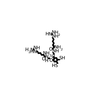 N=C(N)NCCCCC=C(N)C(=O)NCCOc1cc(CS)c(CS)cc1OCCNC(=O)[C@H](N)CCCCNC(=N)N